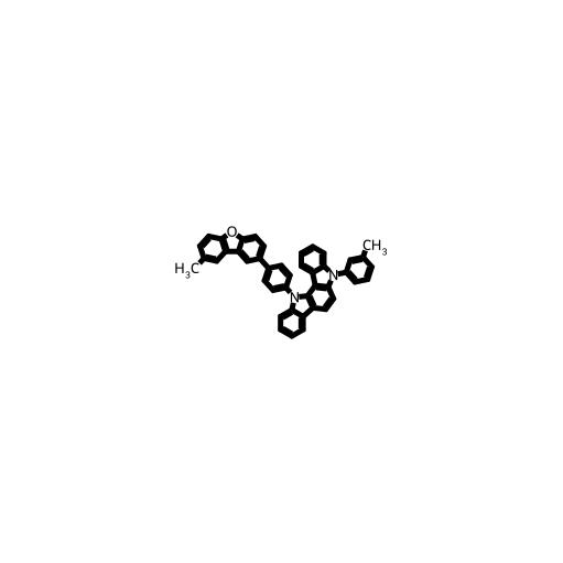 Cc1cccc(-n2c3ccccc3c3c2ccc2c4ccccc4n(-c4ccc(-c5ccc6oc7ccc(C)cc7c6c5)cc4)c23)c1